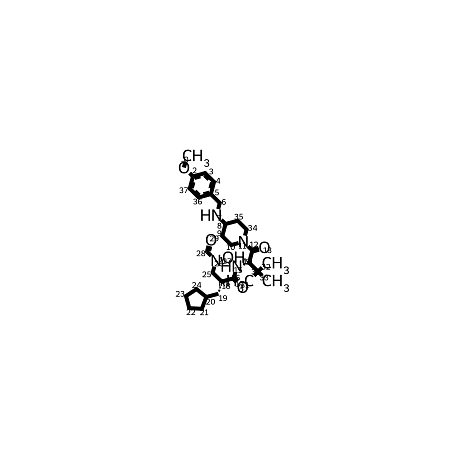 COc1ccc(CNC2CCN(C(=O)[C@@H](NC(=O)[C@H](CC3CCCC3)CN(O)C=O)C(C)(C)C)CC2)cc1